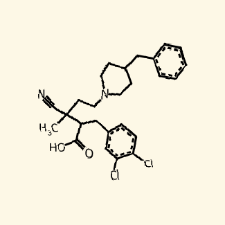 CC(C#N)(CCN1CCC(Cc2ccccc2)CC1)C(Cc1ccc(Cl)c(Cl)c1)C(=O)O